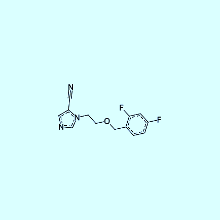 N#Cc1cncn1CCOCc1ccc(F)cc1F